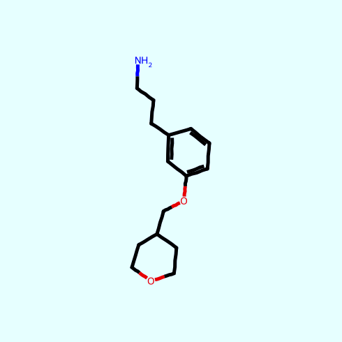 NCCCc1cccc(OCC2CCOCC2)c1